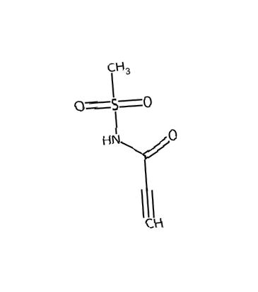 C#CC(=O)NS(C)(=O)=O